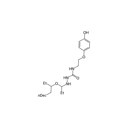 CCCCCCCCCCCC(CC)OC(CC)NNC(=O)NCCOc1ccc(O)cc1